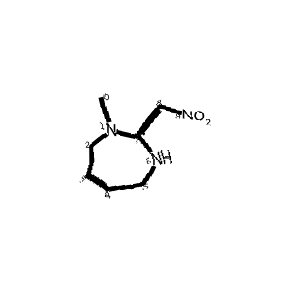 CN1CCCCNC1=C[N+](=O)[O-]